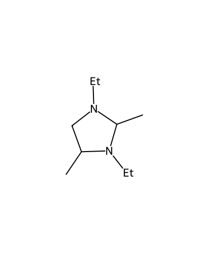 CCN1CC(C)N(CC)C1C